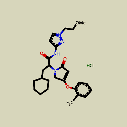 COCCn1ccc(NC(=O)C(CC2CCCCC2)N2CC(Oc3ccccc3C(F)(F)F)=CC2=O)n1.Cl